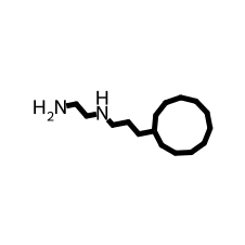 NCCNCCCC1CCCCCCCCCC1